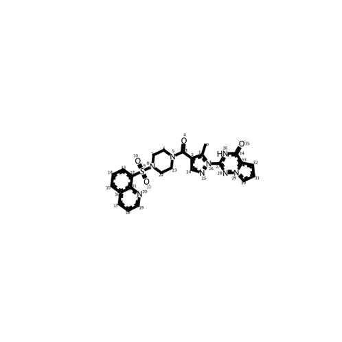 Cc1c(C(=O)N2CCN(S(=O)(=O)c3cccc4cccnc34)CC2)cnn1-c1nn2cccc2c(=O)[nH]1